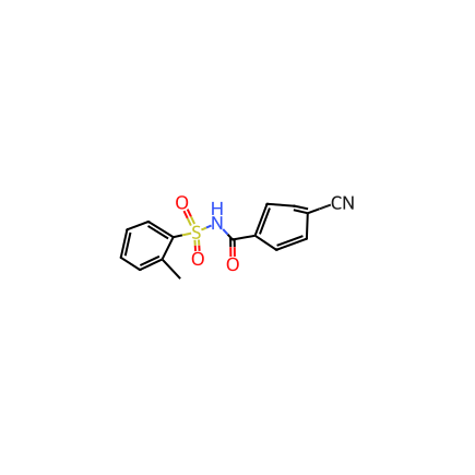 Cc1ccccc1S(=O)(=O)NC(=O)c1ccc(C#N)cc1